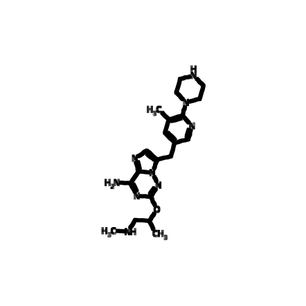 CNCC(C)Oc1nc(N)c2ncc(Cc3cnc(N4CCNCC4)c(C)c3)n2n1